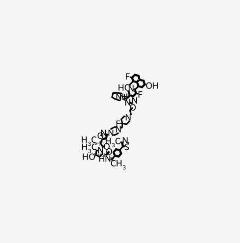 C#Cc1c(F)ccc2cc(O)cc(-c3ncc4c(N5CC6CCC(C5)N6)nc(OCCN5CCC(F)(CN6CCN(c7cc([C@H](C(=O)N8C[C@H](O)C[C@H]8C(=O)N[C@@H](C)c8ccc(-c9scnc9C)cc8)C(C)C)on7)CC6)CC5)nc4c3F)c12